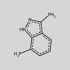 Pc1n[nH]c2c(P)cccc12